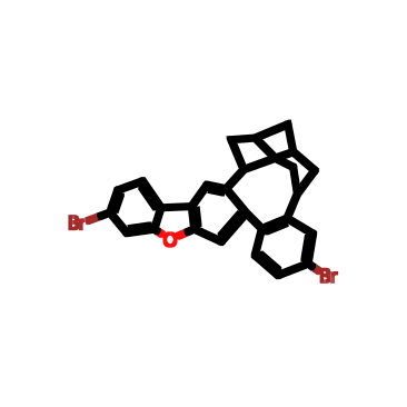 Brc1ccc2c(c1)C1CC3CC4CC(c5cc6c(cc5-2)oc2cc(Br)ccc26)C34C1